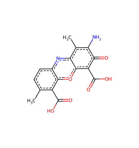 Cc1ccc2nc3c(C)c(N)c(=O)c(C(=O)O)c-3oc2c1C(=O)O